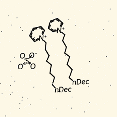 CCCCCCCCCCCCCCCCCC[n+]1ccccc1.CCCCCCCCCCCCCCCCCC[n+]1ccccc1.O=S(=O)([O-])[O-]